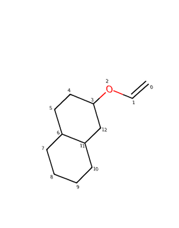 C=COC1CCC2CCCCC2C1